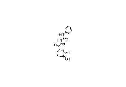 O=C(NNC(=O)C1CCC2CN1C(=O)N2O)Nc1ccccc1